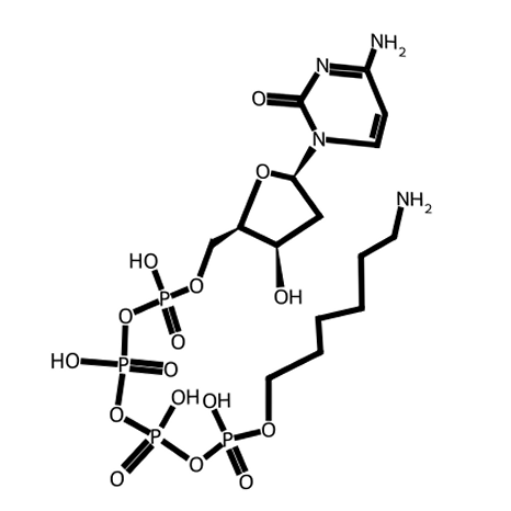 NCCCCCCOP(=O)(O)OP(=O)(O)OP(=O)(O)OP(=O)(O)OC[C@H]1O[C@@H](n2ccc(N)nc2=O)C[C@H]1O